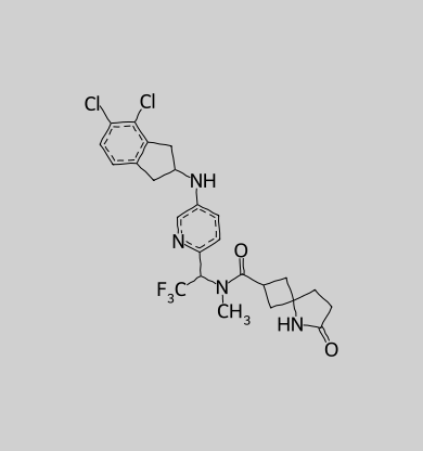 CN(C(=O)C1CC2(CCC(=O)N2)C1)C(c1ccc(NC2Cc3ccc(Cl)c(Cl)c3C2)cn1)C(F)(F)F